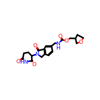 O=C1CCC(N2Cc3ccc(CNC(=O)OCC4CCOC4)cc3C2=O)C(=O)N1